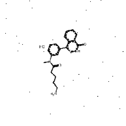 CN(C(=O)CCCCN)c1cccc(-c2n[nH]c(=O)c3ccccc23)c1.Cl